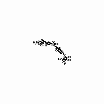 CC(=O)[C@H](Cc1cn(CCOC2OC(C(=O)O)C(O)[C@H](O)[C@@H]2O)nn1)NC(=O)CC[C@H](NC(=O)c1ccc(NCc2cnc3nc(N)nc(O)c3n2)cc1)C(=O)O